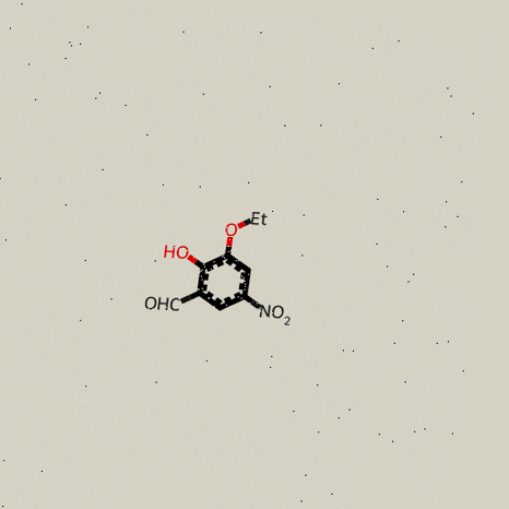 CCOc1cc([N+](=O)[O-])cc(C=O)c1O